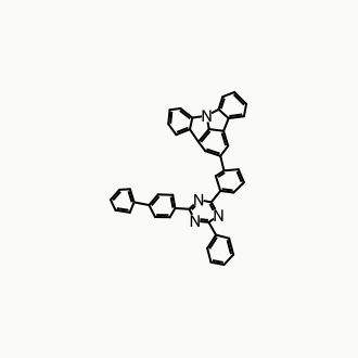 c1ccc(-c2ccc(-c3nc(-c4ccccc4)nc(-c4cccc(-c5cc6c7ccccc7n7c8ccccc8c(c5)c67)c4)n3)cc2)cc1